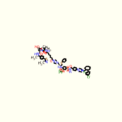 Cc1ncsc1-c1ccc([C@H](C)NC(=O)[C@@H]2C[C@@H](O)CN2C(=O)[C@@H](NC(=O)CCCCCC(=O)N2CCN(CC[C@H](CSc3ccccc3)Nc3ccc(S(=O)(=O)NC(=O)c4ccc(N5CCN(CC6=C(c7ccc(Cl)cc7F)CCCCC6)CC5)cc4)cc3S(=O)(=O)C(F)(F)F)CC2)C(C)(C)C)cc1